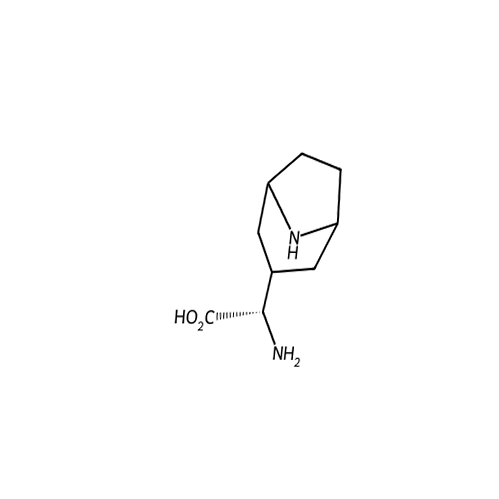 N[C@H](C(=O)O)C1CC2CCC(C1)N2